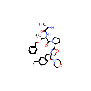 C[C@H](N)C(=O)N[C@H](C(=O)N1CCC[C@H]1C1=N[C@@](Cc2cccc(CI)c2)(C(=O)N2CCOCC2)CO1)[C@@H](C)OCc1ccccc1